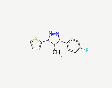 CC1C(c2ccc(F)cc2)N=NC1c1cccs1